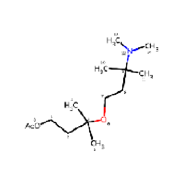 CC(=O)OCCC(C)(C)OCCC(C)(C)N(C)C